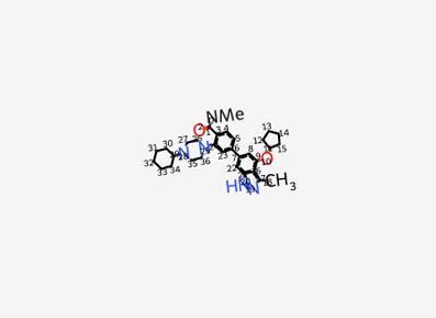 CNC(=O)c1ccc(-c2cc(OC3CCCC3)c3c(C)n[nH]c3c2)cc1N1CCN(C2CCCCC2)CC1